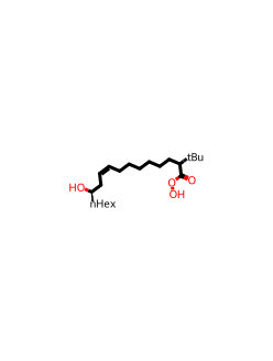 CCCCCC[C@@H](O)C/C=C\CCCCCCC(C(=O)OO)C(C)(C)C